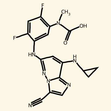 CN(C(=O)O)c1cc(Nc2cc(NC3CC3)c3ncc(C#N)n3n2)c(F)cc1F